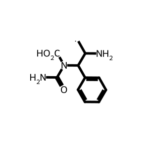 [CH2]C(N)C(c1ccccc1)N(C(N)=O)C(=O)O